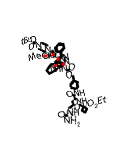 CCOC(=O)C1(C(=O)N[C@@H](CCCNC(N)=O)C(=O)Nc2ccc(COC(=O)Nc3nnc(-c4ccccc4OCOC)cc3N3CC4CCC(C3)N4c3ccnc(OCCN4CCN(C(=O)OC(C)(C)C)C[C@H]4C)c3)cc2)CCC1